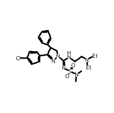 CCN(CC)CCN/C(=N\S(=O)(=O)N(C)C)N1CC(c2ccccc2)C(c2ccc(Cl)cc2)=N1